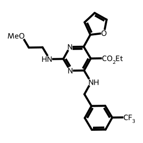 CCOC(=O)c1c(NCc2cccc(C(F)(F)F)c2)nc(NCCOC)nc1-c1ccco1